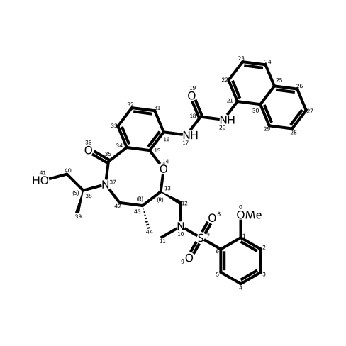 COc1ccccc1S(=O)(=O)N(C)C[C@@H]1Oc2c(NC(=O)Nc3cccc4ccccc34)cccc2C(=O)N([C@@H](C)CO)C[C@H]1C